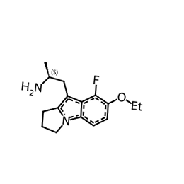 CCOc1ccc2c(c1F)c(C[C@H](C)N)c1n2CCC1